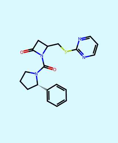 O=C1CC(CSc2ncccn2)N1C(=O)N1CCC[C@H]1c1ccccc1